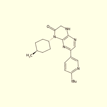 CC(C)(C)c1ccc(-c2cnc3c(n2)N([C@H]2CC[C@H](C)CC2)C(=O)CN3)cn1